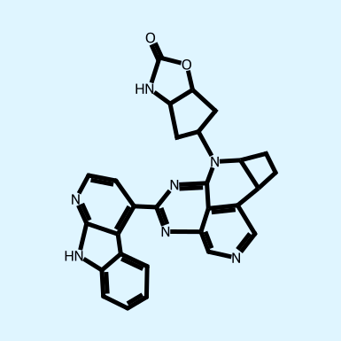 O=C1NC2CC(N3c4nc(-c5ccnc6[nH]c7ccccc7c56)nc5cncc(c45)C4CCC43)CC2O1